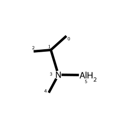 CC(C)[N](C)[AlH2]